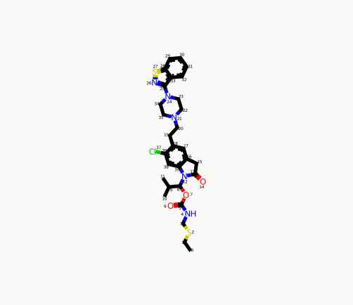 CCSCNC(=O)OC(C(C)C)N1C(=O)Cc2cc(CCN3CCN(c4nsc5ccccc45)CC3)c(Cl)cc21